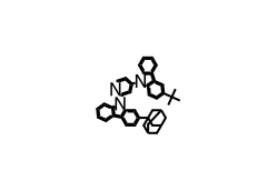 CC(C)(C)c1ccc2c(c1)c1ccccc1n2-c1ccnc(-n2c3ccccc3c3ccc(C45CC6CC(CC(C6)C4)C5)cc32)c1